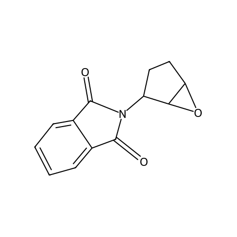 O=C1c2ccccc2C(=O)N1C1CCC2OC21